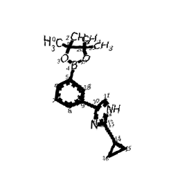 CC1(C)OB(c2cccc(-c3c[nH]c(C4CC4)n3)c2)OC1(C)C